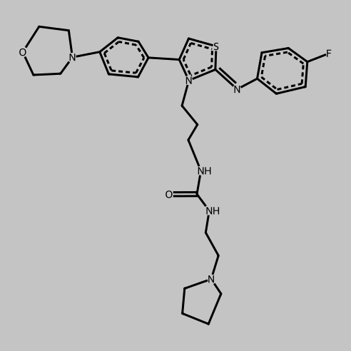 O=C(NCCCn1c(-c2ccc(N3CCOCC3)cc2)cs/c1=N\c1ccc(F)cc1)NCCN1CCCC1